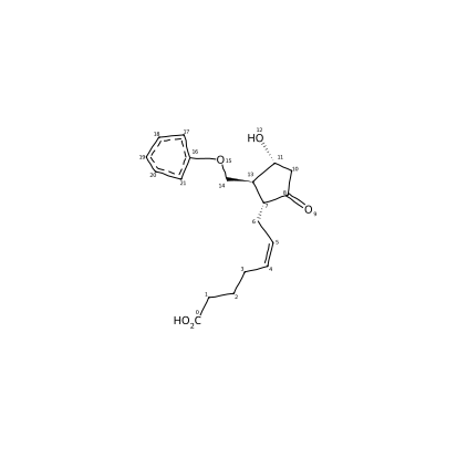 O=C(O)CCC/C=C\C[C@H]1C(=O)C[C@@H](O)[C@@H]1COc1ccccc1